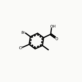 Cc1cc(Cl)c(Br)cc1C(=O)O